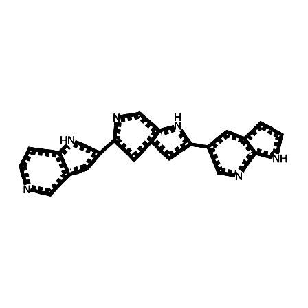 c1cc2[nH]c(-c3cc4cc(-c5cnc6[nH]ccc6c5)[nH]c4cn3)cc2cn1